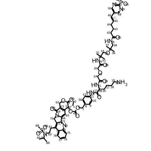 CC[C@@]1(OC(=O)OCc2ccc(NC(=O)[C@H](CCCCN)NC(=O)COCC(=O)NC(C)(C)COC(C)(C)CNC(=O)CCC/C=C/c3cnc(S(C)(=O)=O)nc3)cc2)C(=O)OCc2c1cc1n(c2=O)Cc2c-1nc1ccccc1c2CCN(C(C)C)S(C)(=O)=O